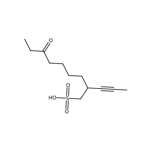 CC#CC(CCCCC(=O)CC)CS(=O)(=O)O